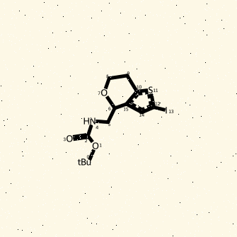 CC(C)(C)OC(=O)NCC1OCCc2sc(I)cc21